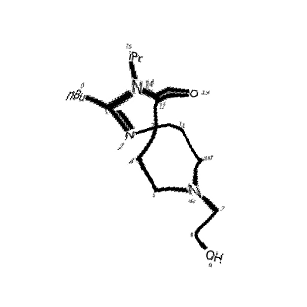 CCCCC1=NC2(CCN(CCO)CC2)C(=O)N1C(C)C